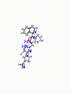 CC1=CN/C(=C\C(=N)[C@@H]2CCCCN2C(=O)c2nccc3ccccc23)N=C1N1CCC(C2=NC2)C1